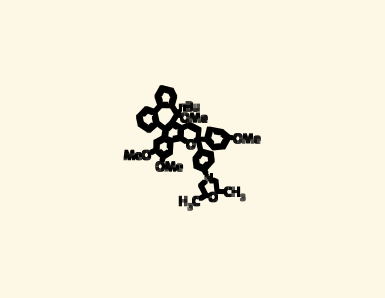 CCCCC1(OC)c2ccccc2-c2ccccc2-c2c1c1c(c3cc(OC)c(OC)cc23)OC(c2ccc(OC)cc2)(c2ccc(N3CC(C)OC(C)C3)cc2)C=C1